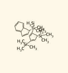 C[Si](C)(C)C1=CC([Si](C)(C)C)[C]([Ti]([CH3])([CH3])(=[SiH2])[CH]2C=Cc3ccccc32)=C1